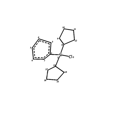 Cl[Si](c1ccccc1)(C1CCCC1)C1CCCC1